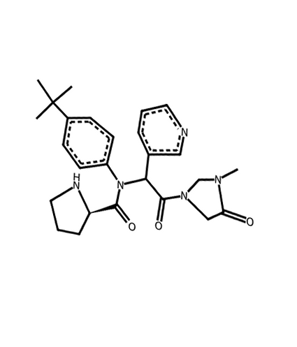 CN1CN(C(=O)C(c2cccnc2)N(C(=O)[C@H]2CCCN2)c2ccc(C(C)(C)C)cc2)CC1=O